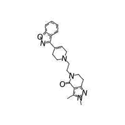 Cc1c2c(nn1C)CCN(CCN1CC=C(c3noc4ccccc34)CC1)C2=O